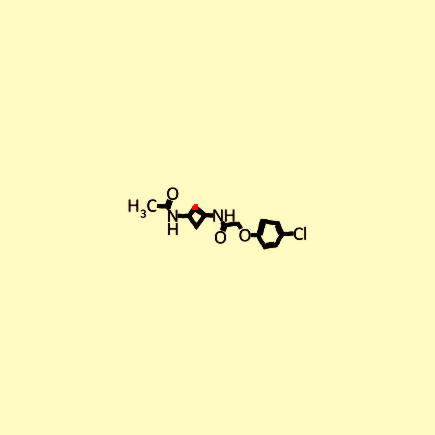 CC(=O)NC12CC(NC(=O)COc3ccc(Cl)cc3)(C1)C2